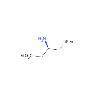 CCC[C@@H](C)C[C@H](N)CC(=O)OCC